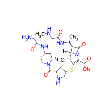 CNCC(=O)NC(C)[C@H]1C(=O)N2C(C(=O)O)=C(S[C@@H]3CN[C@H](C(=O)N4CCC(NC(=O)CN)CC4)C3)[C@H](C)[C@H]12